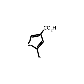 [CH2]c1cc(C(=O)O)cs1